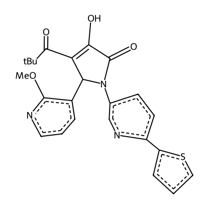 COc1ncccc1C1C(C(=O)C(C)(C)C)=C(O)C(=O)N1c1ccc(-c2cccs2)nc1